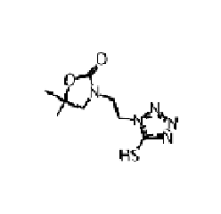 CC1(C)CN(CCn2nnnc2S)C(=O)O1